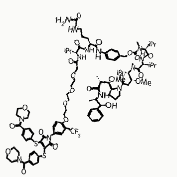 CCC(C)[C@@H]([C@@H](CC(=O)N1CCC[C@H]1[C@H](OC)[C@@H](C)C(=O)N[C@H](C)[C@@H](O)c1ccccc1)OC)N(C)C(=O)[C@@H](NC(=O)[C@H](C(C)C)N(C)C(=O)OCc1ccc(NC(=O)[C@H](CCCNC(N)=O)NC(=O)[C@@H](NC(=O)COCCOCCOCCOc2ccc(N3C(=O)C(Sc4ccc(C(=O)N5CCOCC5)cc4)=C(Sc4ccc(C(=O)N5CCOCC5)cc4)C3=O)cc2C(F)(F)F)C(C)C)cc1)C(C)C